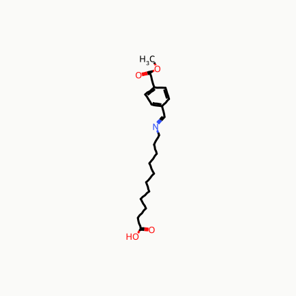 COC(=O)c1ccc(C=NCCCCCCCCCCC(=O)O)cc1